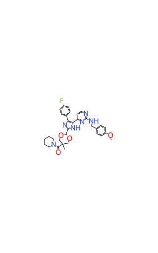 COc1ccc(CNc2nccc(-c3[nH]c(C4OCC(C)(C(=O)N5CCCCC5)CO4)nc3-c3ccc(F)cc3)n2)cc1